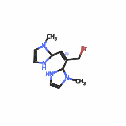 CN1C=CNC1/C=C(/CBr)C1NC=CN1C